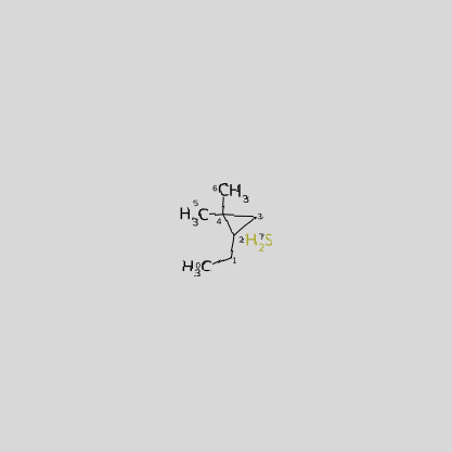 CCC1CC1(C)C.S